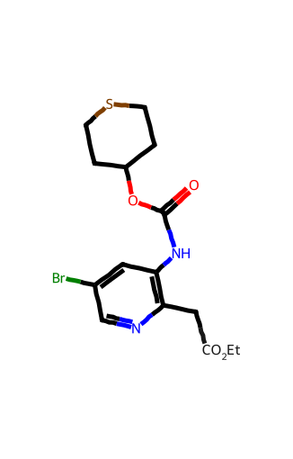 CCOC(=O)Cc1ncc(Br)cc1NC(=O)OC1CCSCC1